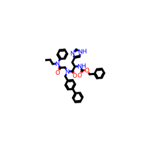 CCCN(C(=O)CN(Cc1ccc(-c2ccccc2)cc1)C(=O)C(Cc1c[nH]cn1)NC(=O)OCc1ccccc1)c1ccccc1